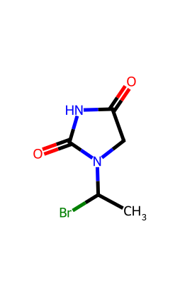 CC(Br)N1CC(=O)NC1=O